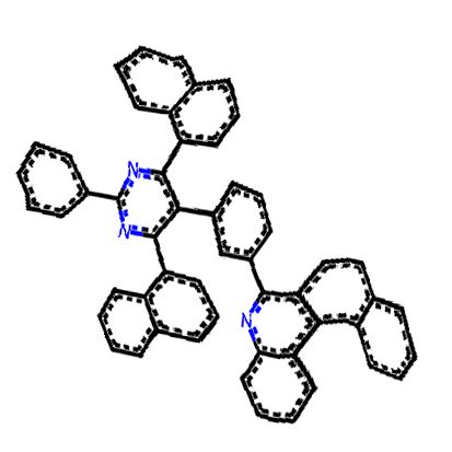 c1ccc(-c2nc(-c3cccc4ccccc34)c(-c3cccc(-c4nc5ccccc5c5c4ccc4ccccc45)c3)c(-c3cccc4ccccc34)n2)cc1